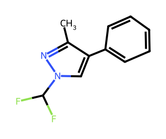 Cc1nn(C(F)F)cc1-c1ccccc1